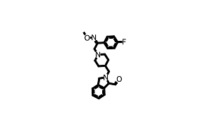 CO/N=C(\CN1CCC(CN2Cc3ccccc3C2C=O)CC1)c1ccc(F)cc1